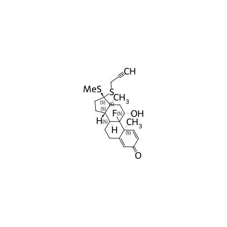 C#CCS[C@@]1(SC)CC[C@H]2[C@@H]3CCC4=CC(=O)C=C[C@]4(C)C3(F)[C@@H](O)C[C@@]21C